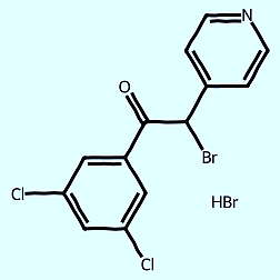 Br.O=C(c1cc(Cl)cc(Cl)c1)C(Br)c1ccncc1